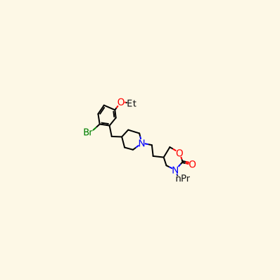 CCCN1CC(CCN2CCC(Cc3cc(OCC)ccc3Br)CC2)COC1=O